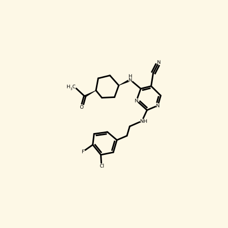 CC(=O)[C@H]1CC[C@@H](Nc2nc(NCCc3ccc(F)c(Cl)c3)ncc2C#N)CC1